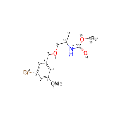 COc1cc(Br)cc(COCC(C)NC(=O)OC(C)(C)C)c1